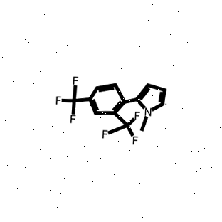 Cn1[c]ccc1-c1ccc(C(F)(F)F)cc1C(F)(F)F